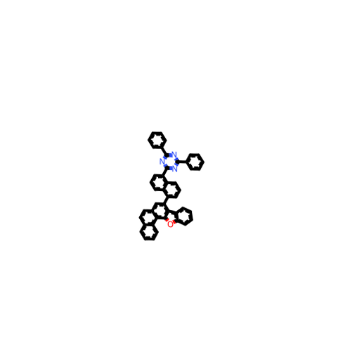 c1ccc(-c2nc(-c3ccccc3)nc(-c3cccc4c(-c5cc6ccc7ccccc7c6c6oc7ccccc7c56)cccc34)n2)cc1